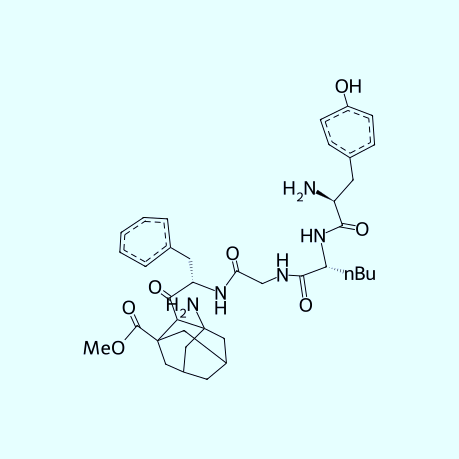 CCCC[C@@H](NC(=O)[C@@H](N)Cc1ccc(O)cc1)C(=O)NCC(=O)N[C@@H](Cc1ccccc1)C(=O)C1C2(N)CC3CC(C2)CC1(C(=O)OC)C3